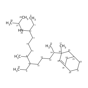 CCC(CCCC(C)C(CC)CCCC(C)C1(C)C=C2CCCC(C2)C1)NC(C)C